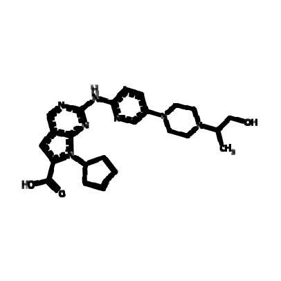 CC(CO)N1CCN(c2ccc(Nc3ncc4cc(C(=O)O)n(C5CCCC5)c4n3)nc2)CC1